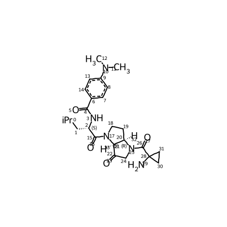 CC(C)C[C@H](NC(=O)c1ccc(N(C)C)cc1)C(=O)N1CC[C@@H]2[C@H]1C(=O)CN2C(=O)C1(N)CC1